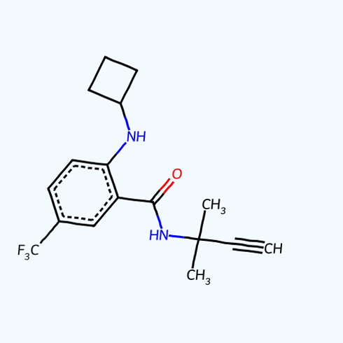 C#CC(C)(C)NC(=O)c1cc(C(F)(F)F)ccc1NC1CCC1